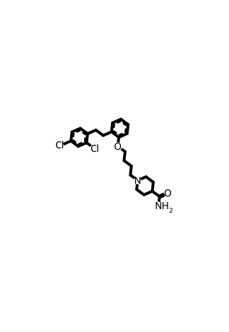 NC(=O)C1CCN(CCCCOc2ccccc2CCc2ccc(Cl)cc2Cl)CC1